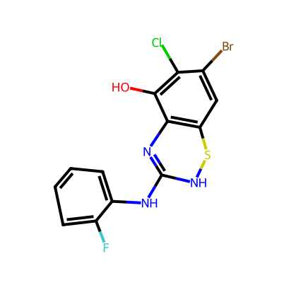 Oc1c(Cl)c(Br)cc2c1N=C(Nc1ccccc1F)NS2